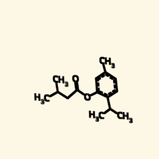 Cc1ccc(C(C)C)c(OC(=O)CC(C)C)c1